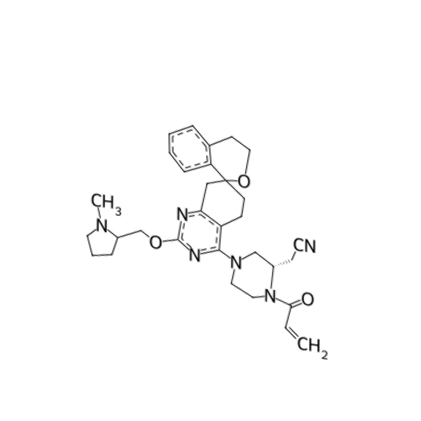 C=CC(=O)N1CCN(c2nc(OCC3CCCN3C)nc3c2CCC2(C3)OCCc3ccccc32)C[C@@H]1CC#N